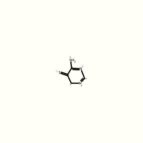 NC1=NC=NCC1=S